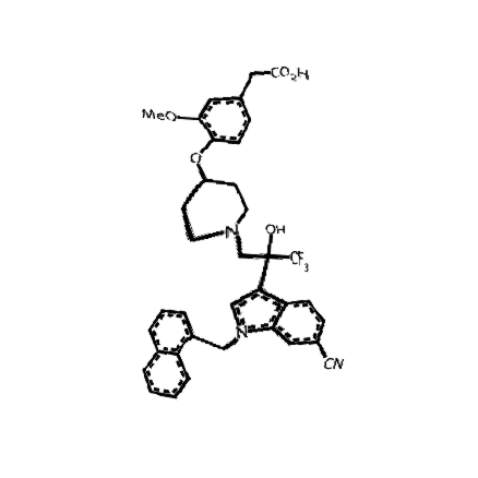 COc1cc(CC(=O)O)ccc1OC1CCN(CC(O)(c2cn(Cc3cccc4ccccc34)c3cc(C#N)ccc23)C(F)(F)F)CC1